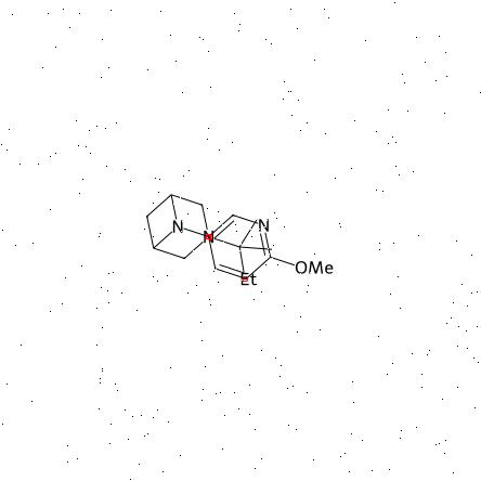 CCC(C)(C)N1CC2CC(C1)N2c1ccc(OC)nc1